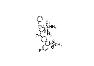 CC(C)(N)C(=O)NC(COCc1ccccc1)C(=O)N1CCC2(CC1)CN(S(C)(=O)=O)c1ccc(F)cc12